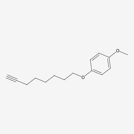 C#CCCCCCCOc1ccc(OC)cc1